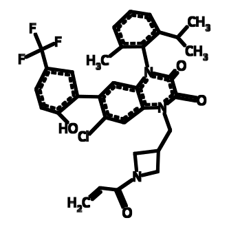 C=CC(=O)N1CC(Cn2c(=O)c(=O)n(-c3c(C)cccc3C(C)C)c3cc(-c4cc(C(F)(F)F)ccc4O)c(Cl)cc32)C1